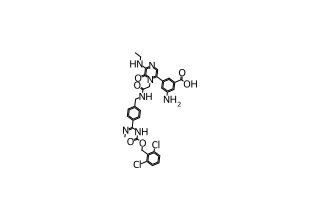 CCNc1ncc(-c2cc(N)cc(C(=O)O)c2)n(CC(=O)NCc2ccc(/C(=N/C)NC(=O)OCc3c(Cl)cccc3Cl)cc2)c1=O